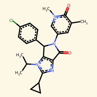 Cc1cc(N2C(=O)c3nc(C4CC4)n(C(C)C)c3C2c2ccc(Cl)cc2)cn(C)c1=O